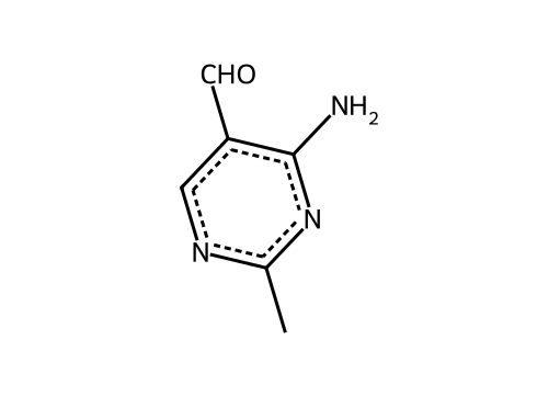 Cc1ncc(C=O)c(N)n1